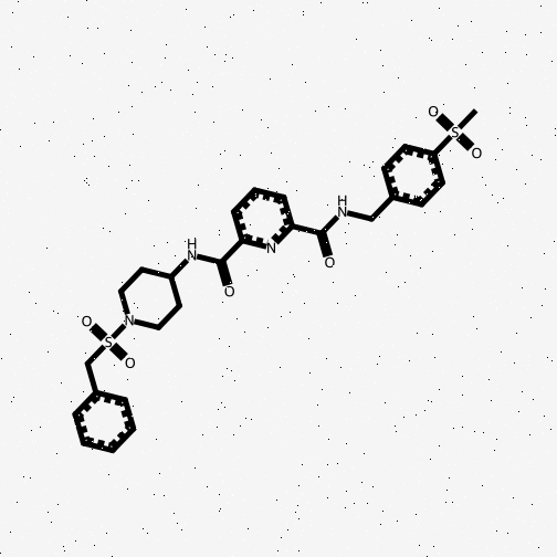 CS(=O)(=O)c1ccc(CNC(=O)c2cccc(C(=O)NC3CCN(S(=O)(=O)Cc4ccccc4)CC3)n2)cc1